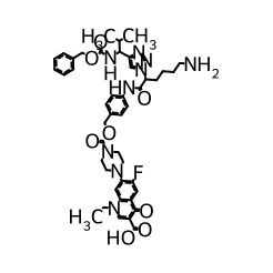 CCn1cc(C(=O)O)c(=O)c2cc(F)c(N3CCN(C(=O)OCc4ccc(NC(=O)C(CCCCN)n5cc(C(NC(=O)OCc6ccccc6)C(C)C)nn5)cc4)CC3)cc21